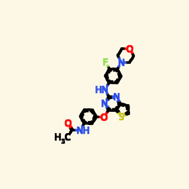 CC(=O)Nc1cccc(Oc2nc(Nc3ccc(N4CCOCC4)c(F)c3)nc3ccsc23)c1